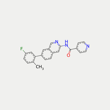 Cc1ccc(F)cc1-c1ccc2cc(NC(=O)c3ccncc3)ncc2c1